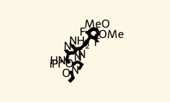 C=CC(=O)N1CCC(n2nc(C#Cc3c(F)c(OC)cc(OC)c3F)c3c(N)ncc(C(=O)NC(C)C)c32)C1